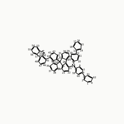 c1ccc(-c2ccc(N(c3ccc(-c4ccccc4)cc3)c3cccc4c3-c3ccccc3C4(c3ccccc3)c3cccc(-c4cccc5c4sc4ccccc45)c3)cc2)cc1